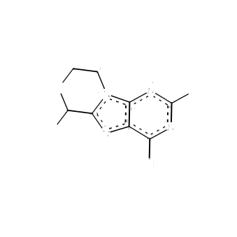 CC1OCCn2c1nc1c(Cl)nc(Cl)nc12